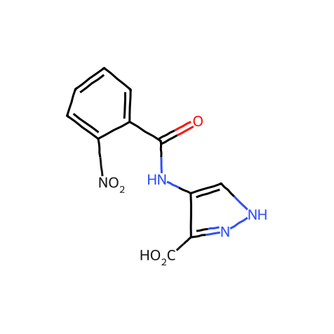 O=C(Nc1c[nH]nc1C(=O)O)c1ccccc1[N+](=O)[O-]